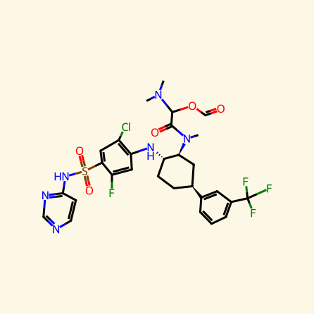 CN(C)C(OC=O)C(=O)N(C)[C@H]1C[C@@H](c2cccc(C(F)(F)F)c2)CC[C@@H]1Nc1cc(F)c(S(=O)(=O)Nc2ccncn2)cc1Cl